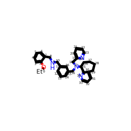 CCOc1ccccc1CNCc1cccc(CN(Cc2ccccn2)C2CCCCc3cccnc32)c1